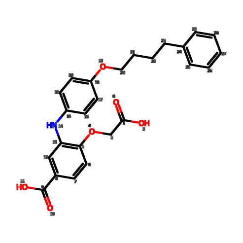 O=C(O)COc1ccc(C(=O)O)cc1Nc1ccc(OCCCCc2ccccc2)cc1